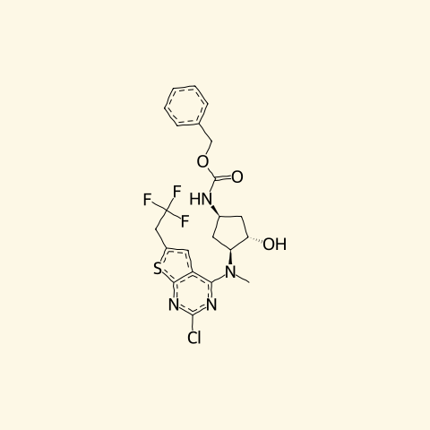 CN(c1nc(Cl)nc2sc(CC(F)(F)F)cc12)[C@H]1C[C@@H](NC(=O)OCc2ccccc2)C[C@@H]1O